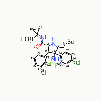 CC(C)(C)C[C@@H]1N[C@@H](C(=O)NC2(C(=O)O)CC2)[C@H](c2cccc(Cl)c2F)[C@@]1(N)c1ccc(Cl)cc1F